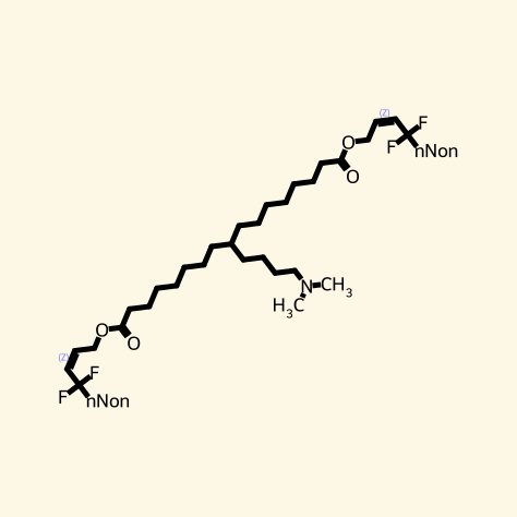 CCCCCCCCCC(F)(F)/C=C\COC(=O)CCCCCCCC(CCCCCCCC(=O)OC/C=C\C(F)(F)CCCCCCCCC)CCCCN(C)C